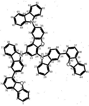 c1ccc2c(c1)oc1c(-c3ccc4c(c3)c3ccccc3n4-c3cc(-n4c5ccccc5c5cc(-c6cccc7c6oc6ccccc67)ccc54)c4oc5ccc(-n6c7ccccc7c7ccccc76)cc5c4c3)cccc12